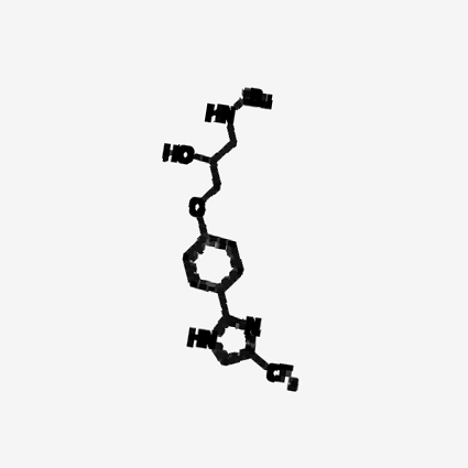 CC(C)(C)NCC(O)COc1ccc(-c2nc(C(F)(F)F)c[nH]2)cc1